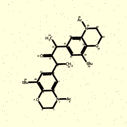 CC(=O)N1CCOc2c1cc(C(C)C(=O)C(C)c1cc3c(c(C(C)(C)C)c1)OCCN3C(C)=O)cc2C(C)(C)C